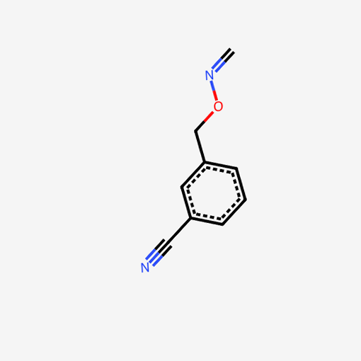 C=NOCc1cccc(C#N)c1